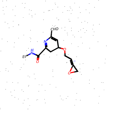 CCNC(=O)C1=NC(C=O)=CC(OC/C=C2/CO2)C1